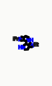 CCN1CC2CCNCC(C3NCCC4CN(C(C)C)CC43)C2C1